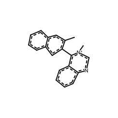 Cc1cc2ccccc2cc1-c1c2ccccc2nc[n+]1C